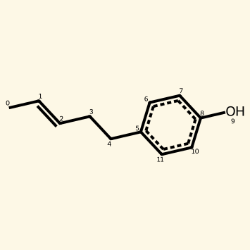 CC=CCCc1ccc(O)cc1